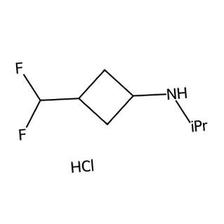 CC(C)NC1CC(C(F)F)C1.Cl